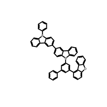 c1ccc(-c2cc(-c3cccc4oc5ccccc5c34)cc(-n3c4ccccc4c4cc(-c5ccc6c(c5)c5ccccc5n6-c5ccccc5)ccc43)c2)cc1